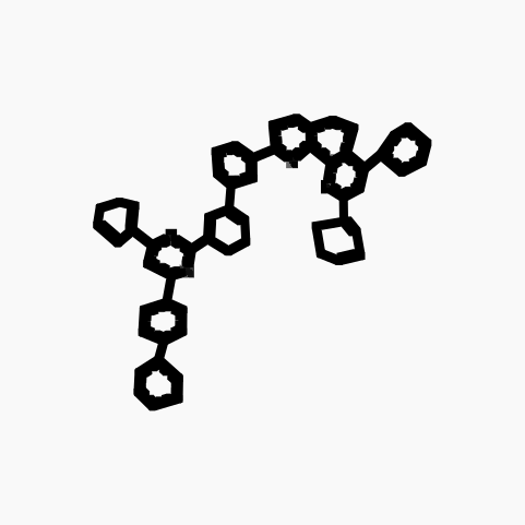 C1=CCCC(c2cc(-c3ccccc3)c3ccc4ccc(-c5cccc(C6=CCCC(c7nc(C8=CCCC=C8)cc(-c8ccc(-c9ccccc9)cc8)n7)=C6)c5)nc4c3n2)=C1